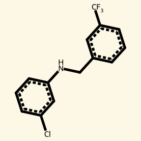 FC(F)(F)c1cccc(CNc2cccc(Cl)c2)c1